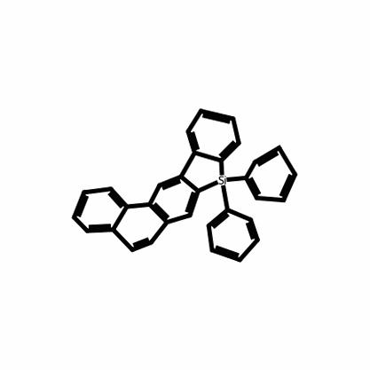 c1ccc([Si]2(c3ccccc3)c3ccccc3-c3cc4c(ccc5ccccc54)cc32)cc1